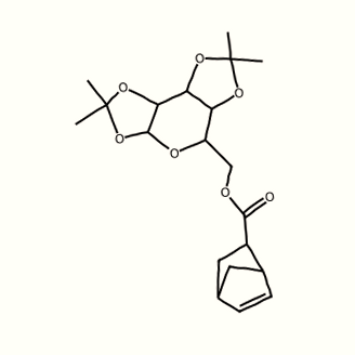 CC1(C)OC2OC(COC(=O)C3CC4C=CC3C4)C3OC(C)(C)OC3C2O1